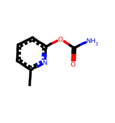 Cc1cccc(OC(N)=O)n1